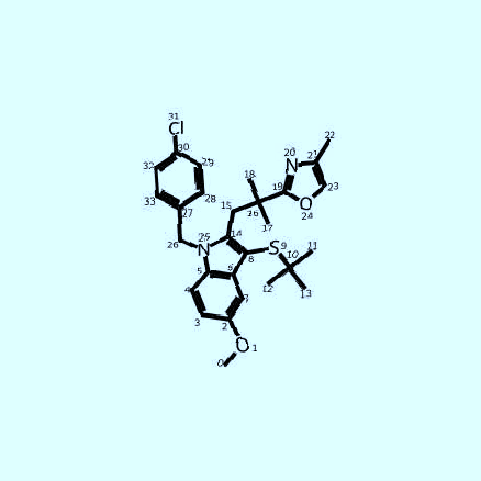 COc1ccc2c(c1)c(SC(C)(C)C)c(CC(C)(C)c1nc(C)co1)n2Cc1ccc(Cl)cc1